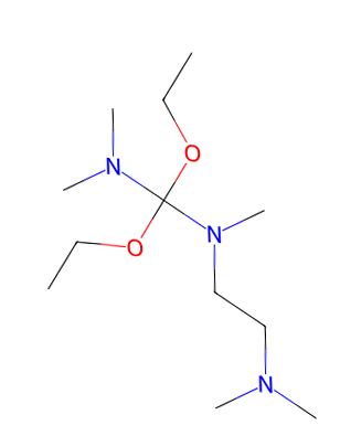 CCOC(OCC)(N(C)C)N(C)CCN(C)C